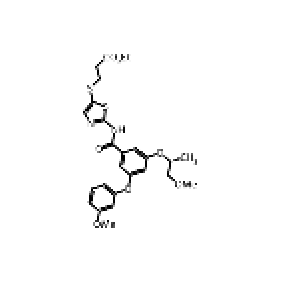 CCOC(=O)CCSc1cnc(NC(=O)c2cc(Oc3cccc(OC)c3)cc(O[C@@H](C)COC)c2)s1